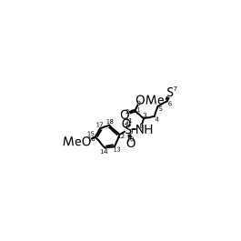 COC(=O)C(CCC=S)NS(=O)(=O)c1ccc(OC)cc1